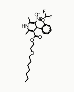 CCCCCCCOCCOC(=O)C1=C(C)NC(C)=C([N+](=O)[O-])C1c1ccccc1OC(F)F